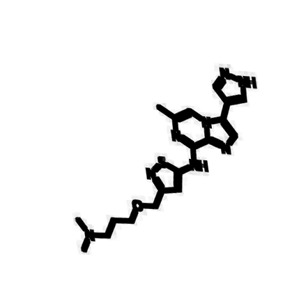 Cc1cn2c(-c3cn[nH]c3)cnc2c(Nc2cc(COCCCN(C)C)ns2)n1